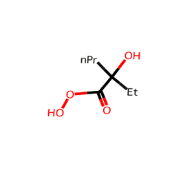 CCCC(O)(CC)C(=O)OO